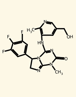 Cc1ncc(CO)cc1NC1=NC(=O)N(C)C2=NCC(c3cc(F)c(F)c(F)c3)N12